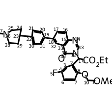 CCOC(=O)C(c1cc(F)ccc1OCOC)n1cnc2ccc(-c3ccc(C4CCN(C)CC4)cc3)cc2c1=O